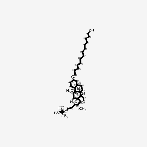 C[C@H](CCCOC(C(F)(F)F)(C(F)(F)F)C(F)(F)F)[C@H]1CC[C@H]2[C@@H]3CC[C@@H]4C[C@H](OCCCCCCCCCCCCCCO)CC[C@]4(C)[C@H]3CC[C@]12C